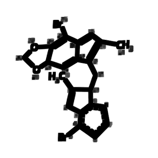 CC1=Cc2c(Br)cccc2C1CC1=C(C)C=C2C1=CC1OCOC1=C2Br